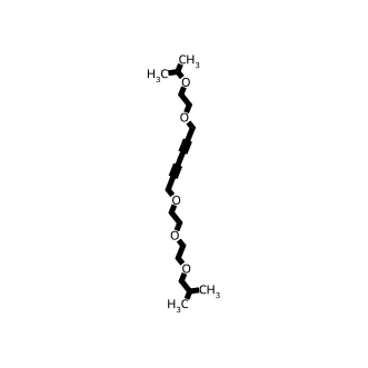 CC(C)COCCOCCOCC#CC#CCOCCOC(C)C